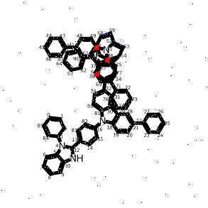 C1=CCC(N2c3ccccc3NC2c2ccc(-n3c4ccc(-c5ccccc5)cc4c4cc(-c5ccc6c(c5)c5cc(-c7ccccc7)ccc5n6C5=C\C6CCC(/C=C\5)N(c5ccccc5)c5ccc(-c7ccccc7)cc56)ccc43)cc2)C=C1